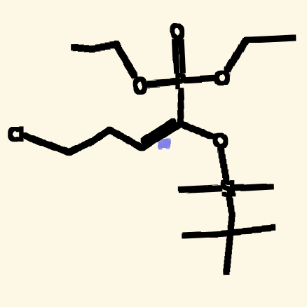 CCOP(=O)(OCC)/C(=C\CCCl)O[Si](C)(C)C(C)(C)C